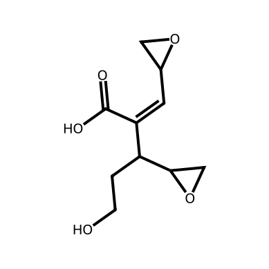 O=C(O)C(=CC1CO1)C(CCO)C1CO1